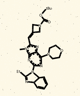 CCC1=NC2C=CC=CC2N1c1nc(N2CCOCC2)c2nc(C=C3CN(C(=O)OC(C)(C)C)C3)n(C)c2n1